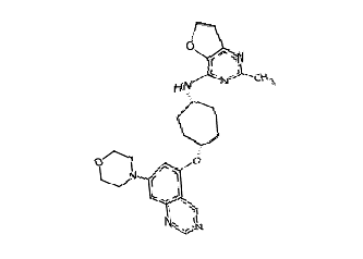 Cc1nc2c(c(N[C@H]3CC[C@@H](Oc4cc(N5CCOCC5)cc5ncncc45)CC3)n1)OCC2